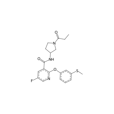 CCC(=O)N1CCC(NC(=O)c2cc(F)cnc2Oc2cccc(SC)c2)C1